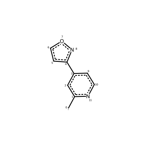 [CH2]c1cc(-c2ccon2)ccn1